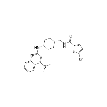 CN(C)c1cc(N[C@H]2CC[C@@H](CNC(=O)c3ccc(Br)s3)CC2)nc2ccccc12